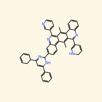 Cc1c2c(-c3cccnc3)nc3cc(C4N=C(C5C=CC=CC5)C=C(c5ccccc5)N4)ccc3c2c(C)c2c(C3=CNCC=C3)nc3ccccc3c12